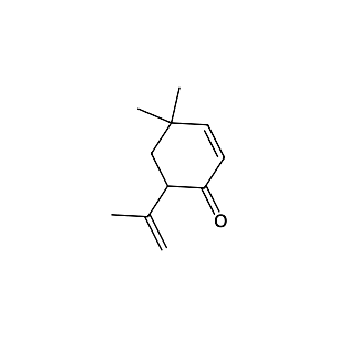 C=C(C)C1CC(C)(C)C=CC1=O